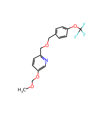 COCOc1ccc(COCc2ccc(OC(F)(F)F)cc2)nc1